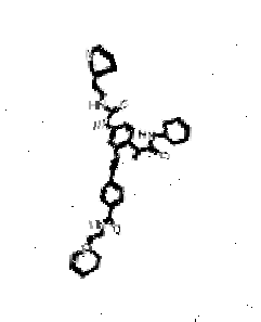 CC(C(=O)NC1CCCCC1)c1ccc(NC(=O)NCCc2cccnc2)cc1C#Cc1ccc(C(=O)NCCN2CCCCC2)cc1